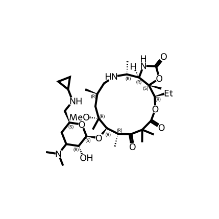 CC[C@H]1OC(=O)C(C)(C)C(=O)[C@H](C)[C@@H](O[C@@H]2O[C@H](CNC3CC3)CC(N(C)C)[C@H]2O)[C@](C)(OC)C[C@@H](C)CN[C@H](C)[C@H]2NC(=O)O[C@@]21C